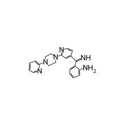 N=C(c1ccnc(N2CCN(c3ccccn3)CC2)c1)c1ccccc1N